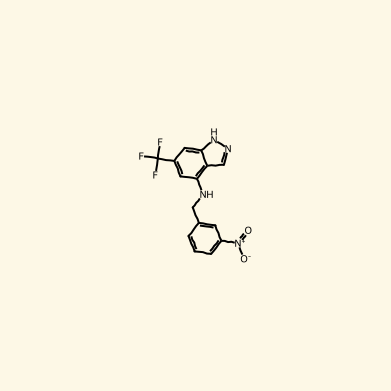 O=[N+]([O-])c1cccc(CNc2cc(C(F)(F)F)cc3[nH]ncc23)c1